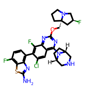 Nc1nc2c(-c3c(Cl)cc4c(N5[C@@H]6CC[C@H]5CNC6)nc(OC[C@]56CCCN5C[C@@H](F)C6)nc4c3F)ccc(F)c2s1